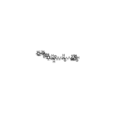 O=C(CCCC[C@H]1SC[C@H]2NC(=O)N[C@H]21)NCCCCCC(=O)NNCc1ccc(C(=O)Nc2nc(-c3ccccn3)cs2)cc1